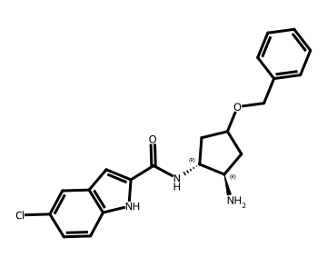 N[C@@H]1CC(OCc2ccccc2)C[C@H]1NC(=O)c1cc2cc(Cl)ccc2[nH]1